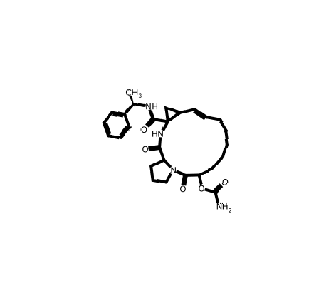 C[C@@H](NC(=O)C12CC1/C=C/CCCCCC(OC(N)=O)C(=O)N1CCCC1C(=O)N2)c1ccccc1